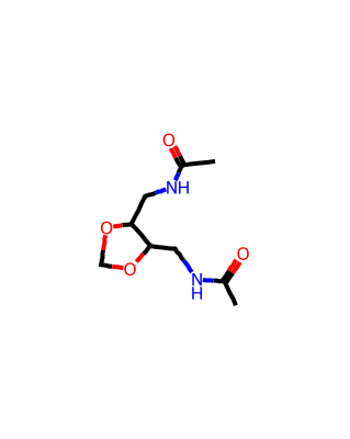 CC(=O)NCC1OCOC1CNC(C)=O